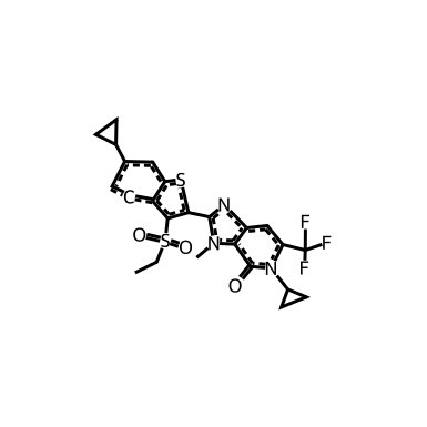 CCS(=O)(=O)c1c(-c2nc3cc(C(F)(F)F)n(C4CC4)c(=O)c3n2C)sc2cc(C3CC3)ccc12